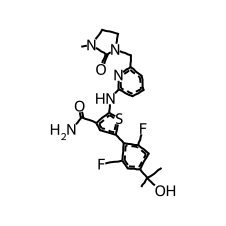 CN1CCN(Cc2cccc(Nc3sc(-c4c(F)cc(C(C)(C)O)cc4F)cc3C(N)=O)n2)C1=O